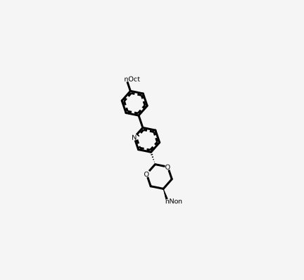 CCCCCCCCC[C@H]1CO[C@H](c2ccc(-c3ccc(CCCCCCCC)cc3)nc2)OC1